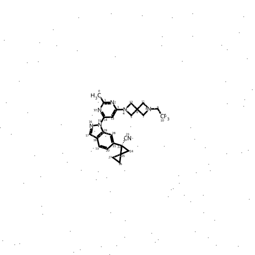 Cc1nc(N2CC3(CN(CC(F)(F)F)C3)C2)cc(-n2ncc3ccc([C@@]4(C#N)CC45CC5)cc32)n1